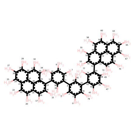 Bc1c(B)c(-c2c(B)c(B)c(B)c(-c3c(B)c(B)c4c(B)c(B)c5c(B)c(B)c(B)c6c(B)c(B)c3c4c56)c2B)c(B)c(-c2c(B)c(B)c(B)c(-c3c(B)c(B)c4c(B)c(B)c5c(B)c(B)c(B)c6c(B)c(B)c3c4c56)c2B)c1B